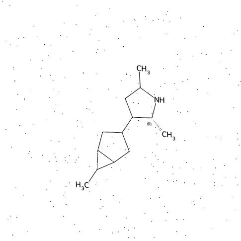 CC1CC(C2CC3C(C)C3C2)[C@@H](C)N1